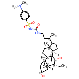 CC[C@H]1[C@@H](O)[C@@H]2[C@H](CC[C@]3(C)C([C@H](C)CCNC(=O)NS(=O)(=O)c4ccc(N(C)C)cc4)CC[C@@H]23)[C@@]2(C)CC[C@@H](O)C[C@@H]12